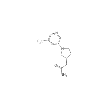 NC(=O)CC1CCN(c2cncc(C(F)(F)F)c2)C1